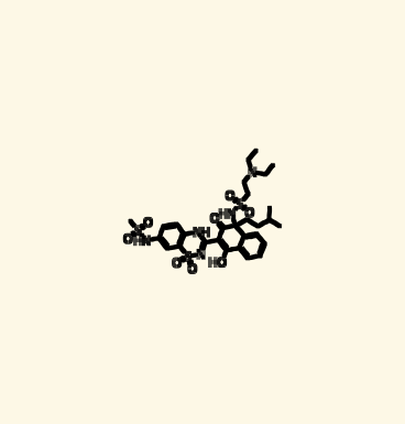 CCN(CC)CCS(=O)(=O)NC1(CCC(C)C)C(=O)C(C2=NS(=O)(=O)c3cc(NS(C)(=O)=O)ccc3N2)=C(O)c2ccccc21